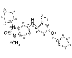 Cc1cc(OCc2ccccc2)ccc1Nc1cc2c(cn1)n(C)c(=O)n2C1CCOCC1